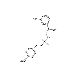 COc1ccc(CCC(C)(C)NCC(O)c2cccc(Cl)c2)cc1